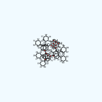 CC1=C(C)C(C)C([Si](c2c(-c3ccccc3)cc(-c3ccccc3)c(-c3ccccc3)c2-c2ccccc2)(c2c(-c3ccccc3)cc(-c3ccccc3)c(-c3ccccc3)c2-c2ccccc2)c2c(-c3ccccc3)cc(-c3ccccc3)c(-c3ccccc3)c2-c2ccccc2)=C1C